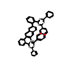 N#Cc1cc2ccc(-c3ccccc3-c3nc(-c4ccccc4)nc(-c4ccccc4)n3)cc2cc1-c1ccccc1-c1nc(-c2ccccc2)nc(-c2ccccc2)n1